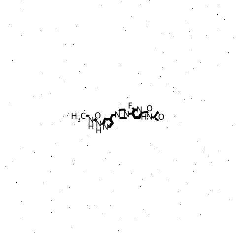 CCNC(=O)Nc1cc(CN2CCN(c3ccc(C(=O)NC4COC4)nc3F)CC2)ccn1